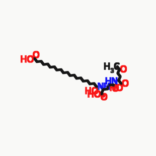 CC(=O)CCC(NC(=O)CCC(NC(O)CCCCCCCCCCCCCCCCCCC(=O)O)C(=O)O)C(=O)O